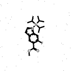 COC(=O)c1cc2ccn([Si](C(C)C)(C(C)C)C(C)C)c2cc1F